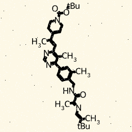 C/C(=C\c1ncnc(-c2ccc(CNC(=O)/C(C)=N/C=C(\C)C(C)(C)C)c(C)c2)c1C)C1=CCN(C(=O)OC(C)(C)C)CC1